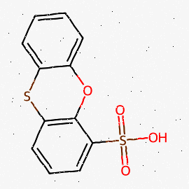 O=S(=O)(O)c1cccc2c1Oc1ccccc1S2